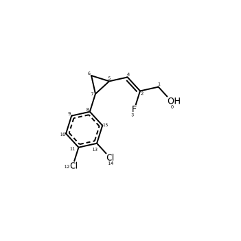 OCC(F)=CC1CC1c1ccc(Cl)c(Cl)c1